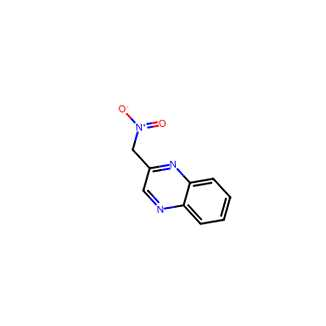 O=[N+]([O-])Cc1cnc2ccccc2n1